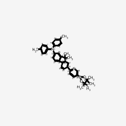 Cc1ccc(N(c2ccc(C)cc2)c2ccc3c(c2)C(C)(C)c2cc(-c4ccc(B5OC(C)(C)C(C)(C)O5)cn4)ccc2-3)cc1